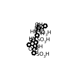 CCc1ccccc1Nc1nc(O)nc(Nc2cc(Nc3ccc4[nH]c(=O)c(C(=O)c5cccc(S(=O)(=O)O)c5)c5c4c3C(=O)c3ccccc3-5)c(S(=O)(=O)O)cc2S(=O)(=O)O)n1